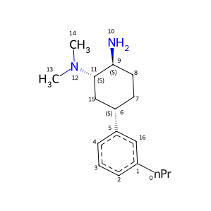 CCCc1cccc([C@H]2CC[C@H](N)[C@@H](N(C)C)C2)c1